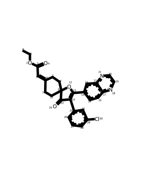 CCOC(=O)C=C1CCC2(CC1)OC(c1ccc3nccnc3c1)=C(c1cccc(Cl)c1)C2=O